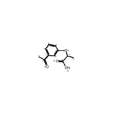 CC(=O)c1cccc(OC(C)C(=O)O)c1